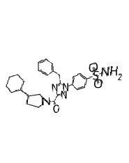 NS(=O)(=O)c1ccc(-n2nc(C(=O)N3CCC(C4CCCCC4)C3)nc2Cc2ccccc2)cc1